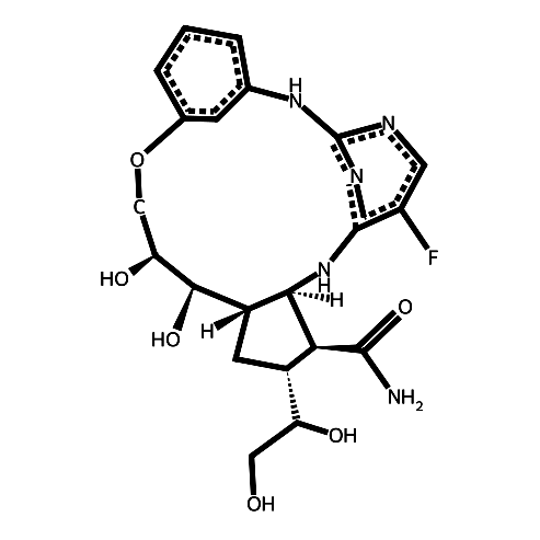 NC(=O)[C@@H]1[C@@H]2Nc3nc(ncc3F)Nc3cccc(c3)OC[C@H](O)[C@H](O)[C@H]2C[C@H]1C(O)CO